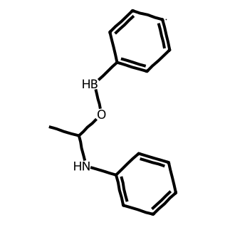 CC(Nc1ccccc1)OBc1cc[c]cc1